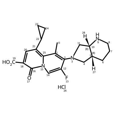 Cc1c(N2C[C@H]3CCCN[C@H]3C2)c(F)cn2c(=O)c(C(=O)O)cc(C3CC3)c12.Cl